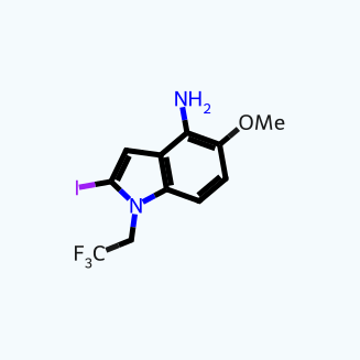 COc1ccc2c(cc(I)n2CC(F)(F)F)c1N